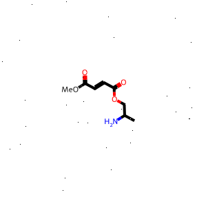 COC(=O)C=CC(=O)OCC(C)N